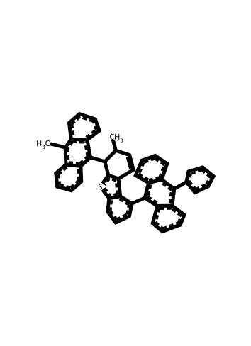 Cc1c2ccccc2c(C2c3sc4cccc(-c5c6ccccc6c(-c6ccccc6)c6ccccc56)c4c3C=CC2C)c2ccccc12